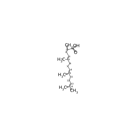 C=C(C/C=C(\C)CC/C=C(\C)CCC=C(C)C)C(=O)O